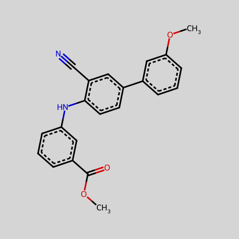 COC(=O)c1cccc(Nc2ccc(-c3cccc(OC)c3)cc2C#N)c1